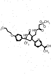 C=C(C)c1ccc(C2=C(CNC(=O)CS(C)(=O)=O)C(=O)N[C@@](c3ccc(OCCCC(F)(F)F)cc3)(C(F)(F)F)C2)nc1